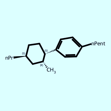 CCCCCc1ccc([C@H]2CC[C@H](CCC)C[C@H]2C)cc1